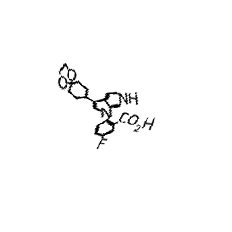 O=C(O)c1cc(F)ccc1-n1cc(C2CCC3(CC2)OCCO3)c2c1=CNCC=2